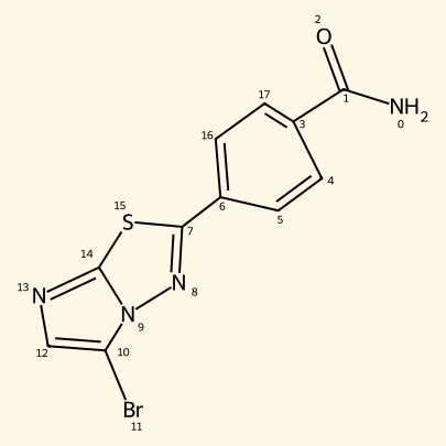 NC(=O)c1ccc(-c2nn3c(Br)cnc3s2)cc1